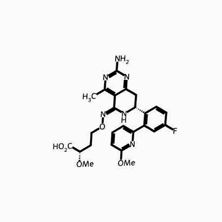 COc1cccc(-c2cc(F)ccc2[C@H]2Cc3nc(N)nc(C)c3/C(=N/OCC[C@H](OC)C(=O)O)N2)n1